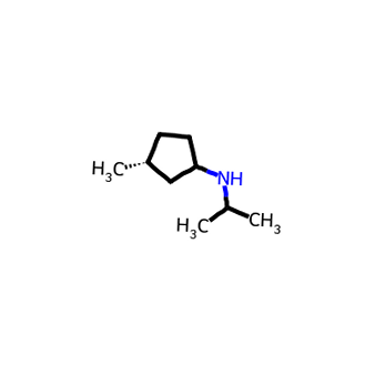 CC(C)NC1CC[C@@H](C)C1